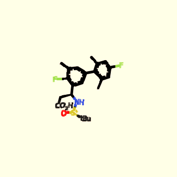 Cc1cc(-c2c(C)cc(F)cc2C)cc([C@H](CC(=O)O)N[S@+]([O-])C(C)(C)C)c1F